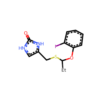 CCC(Oc1ccccc1I)SCc1c[nH]c(=O)[nH]1